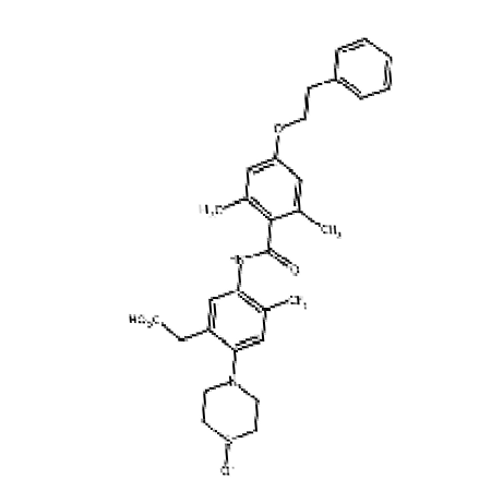 Cc1cc(OCCc2ccccc2)cc(C)c1C(=O)Nc1cc(CC(=O)O)c(N2CC[S+]([O-])CC2)cc1C(F)(F)F